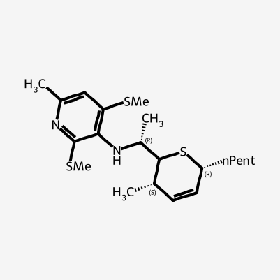 CCCCC[C@@H]1C=C[C@H](C)C([C@@H](C)Nc2c(SC)cc(C)nc2SC)S1